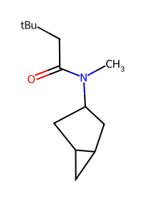 CN(C(=O)CC(C)(C)C)C1CC2CC2C1